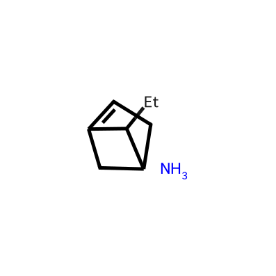 CCC1C2=CCC1C2.N